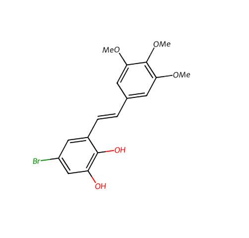 COc1cc(C=Cc2cc(Br)cc(O)c2O)cc(OC)c1OC